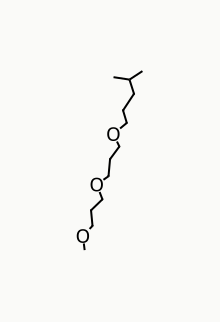 COCCCOCCCOCCCC(C)C